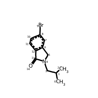 CC(C)CN1Cc2cc(Br)ccc2C1=O